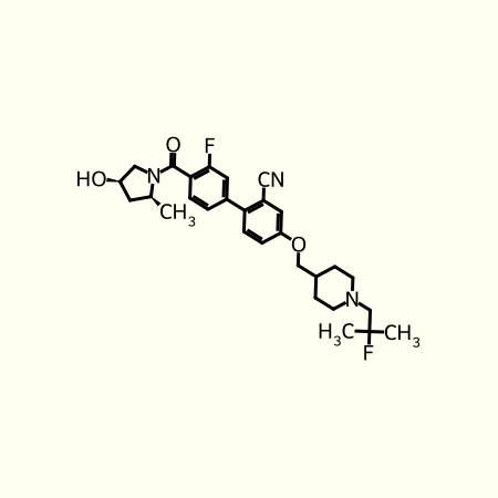 C[C@H]1C[C@@H](O)CN1C(=O)c1ccc(-c2ccc(OCC3CCN(CC(C)(C)F)CC3)cc2C#N)cc1F